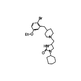 CCOc1ccc(Br)c(CC2CCN(CC3CN(C4CCCCC4)C(=O)N3)CC2)c1